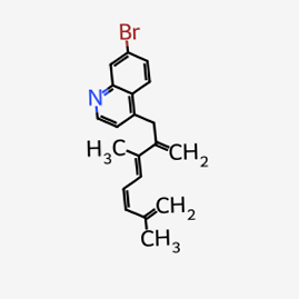 C=C(C)/C=C\C=C(/C)C(=C)Cc1ccnc2cc(Br)ccc12